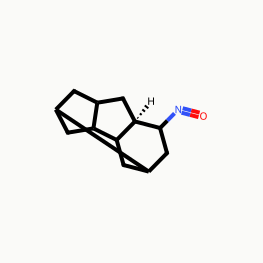 O=NC1CC2CC3C4CC2CC4C[C@@H]13